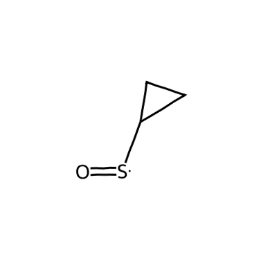 O=[S]C1CC1